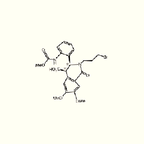 COC(=O)Nc1ccccc1[C@@H]1[C@H](C(=O)O)c2cc(OC)c(OC)cc2C(=O)N1CCCBr